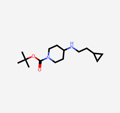 CC(C)(C)OC(=O)N1CCC(NCCC2CC2)CC1